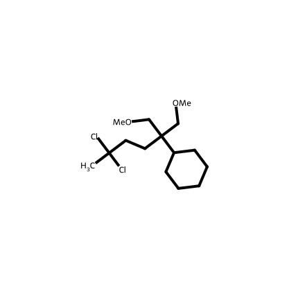 COCC(CCC(C)(Cl)Cl)(COC)C1CCCCC1